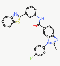 Cc1nc2ccc(C(=O)Nc3cccc(-c4nc5ccccc5s4)c3)cc2n1-c1ccc(F)cc1